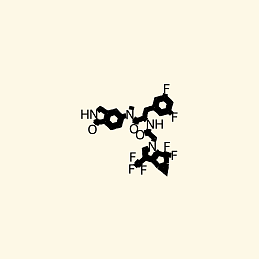 CN(C(=O)C(Cc1cc(F)cc(F)c1)NC(=O)Cn1cc(C(F)(F)F)c2c1C(F)(F)C1CC21)c1ccc2c(c1)CNC2=O